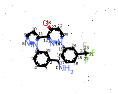 NCc1cccc(-n2nccc2-c2nn(-c3cccc(C(F)(F)F)c3)ccc2=O)c1